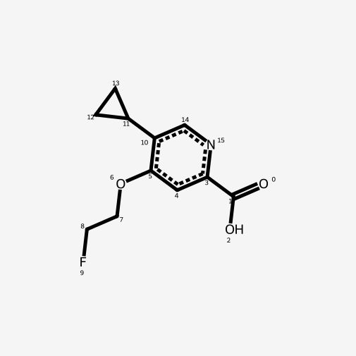 O=C(O)c1cc(OCCF)c(C2CC2)cn1